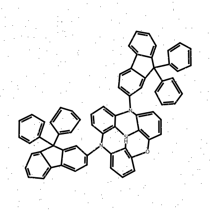 c1ccc(C2(c3ccccc3)c3ccccc3-c3ccc(N4c5cccc6c5[SiH]5c7c(cccc7N(c7ccc8c(c7)C(c7ccccc7)(c7ccccc7)c7ccccc7-8)c7cccc4c75)O6)cc32)cc1